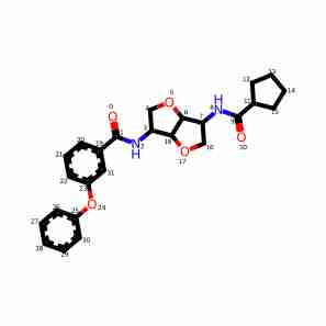 O=C(NC1COC2C(NC(=O)C3CCCC3)COC12)c1cccc(Oc2ccccc2)c1